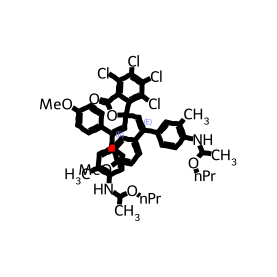 CCCOC(C)Nc1ccc(/C(=C/C2(/C=C(\c3ccc(OC)cc3)c3ccc(NC(C)OCCC)c(C)c3)OC(=O)c3c(Cl)c(Cl)c(Cl)c(Cl)c32)c2ccc(OC)cc2)cc1C